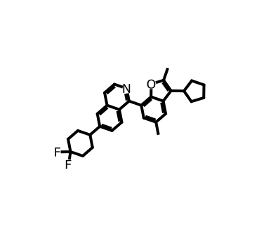 Cc1cc(-c2nccc3cc(C4CCC(F)(F)CC4)ccc23)c2oc(C)c(C3CCCC3)c2c1